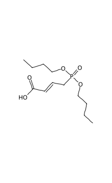 CCCCOP(=O)(CC=CC(=O)O)OCCCC